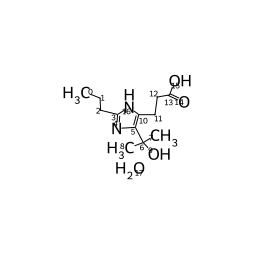 CCCc1nc(C(C)(C)O)c(CCC(=O)O)[nH]1.O